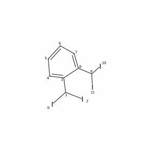 IC(I)c1ccccc1C(I)I